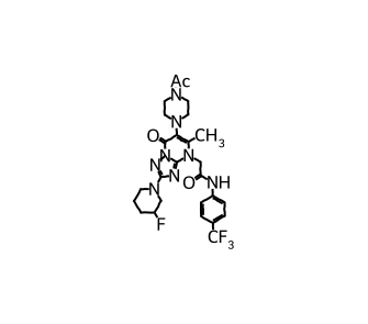 CC(=O)N1CCN(c2c(C)n(CC(=O)Nc3ccc(C(F)(F)F)cc3)c3nc(N4CCCC(F)C4)nn3c2=O)CC1